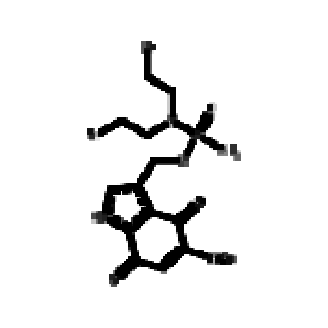 COC1=CC(=O)c2[nH]cc(COP(N)(=O)N(CCBr)CCBr)c2C1=O